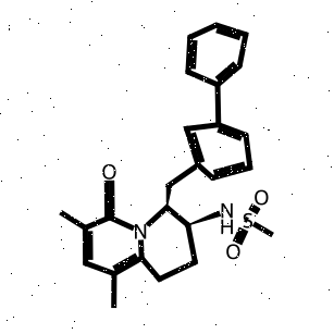 Cc1cc(C)c(=O)n2c1CC[C@H](NS(C)(=O)=O)[C@@H]2Cc1cccc(-c2ccccc2)c1